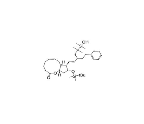 CC(C)(C[C@H](/C=C/[C@@H]1[C@H]2C/C=C\CCCC(=O)O[C@H]2C[C@H]1O[Si](C)(C)C(C)(C)C)CCc1ccccc1)[Si](C)(C)O